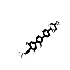 CCC1COC(c2ccc(-c3ccc(-c4cc(F)c(C#CC(F)(F)F)c(F)c4)c(F)c3)cc2)OC1